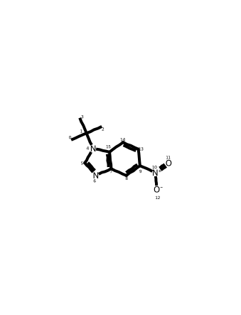 CC(C)(C)n1cnc2cc([N+](=O)[O-])ccc21